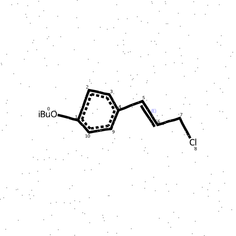 CC(C)COc1ccc(/C=C/CCl)cc1